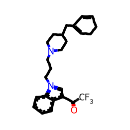 O=C(c1cn(CCCN2CCC(CC3=CCCC=C3)CC2)c2ccccc12)C(F)(F)F